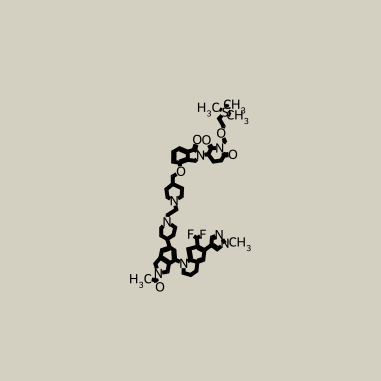 CC(=O)N1Cc2cc(C3CCN(CCN4CCC(COc5cccc6c5CN(C5CCC(=O)N(COCC[Si](C)(C)C)C5=O)C6=O)CC4)CC3)cc(N3CCCc4cc(-c5cnn(C)c5)c(C(F)F)cc43)c2C1